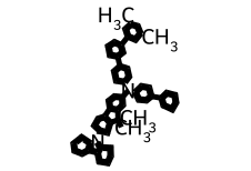 Cc1cc(C)cc(-c2cccc(-c3ccc(N(c4ccc(-c5ccccc5)cc4)c4ccc5c(c4)C(C)(C)c4cc(-n6c7ccccc7c7ccccc76)ccc4-5)cc3)c2)c1